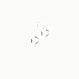 Cc1ccc(-c2cccc(F)c2)c(OC2CC2)[n+]1O